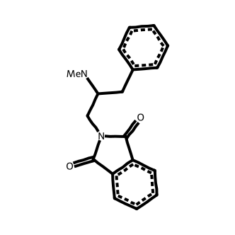 CNC(Cc1ccccc1)CN1C(=O)c2ccccc2C1=O